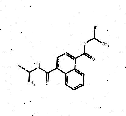 CC(C)C(C)NC(=O)c1ccc(C(=O)NC(C)C(C)C)c2ccccc12